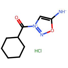 Cl.[NH-]c1c[n+](C(=O)C2CCCCC2)no1